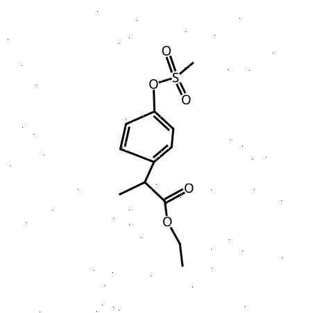 CCOC(=O)C(C)c1ccc(OS(C)(=O)=O)cc1